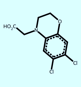 O=C(O)CN1CCOc2cc(Cl)c(Cl)cc21